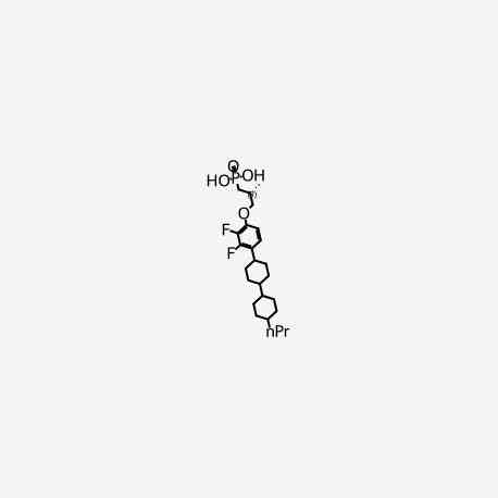 CCCC1CCC(C2CCC(c3ccc(OC[C@@H](C)CP(=O)(O)O)c(F)c3F)CC2)CC1